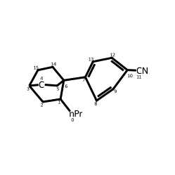 CCCC1CC2CCC1(c1ccc(C#N)cc1)CC2